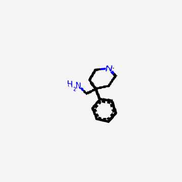 NCC1(c2ccccc2)CC[N]CC1